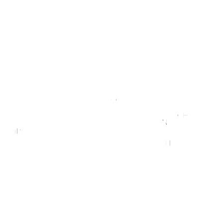 CC(C)c1ccc(OCCN(C)C)c2ccccc12